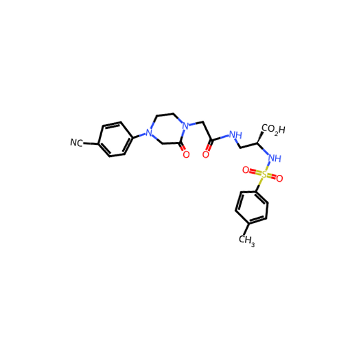 Cc1ccc(S(=O)(=O)N[C@@H](CNC(=O)CN2CCN(c3ccc(C#N)cc3)CC2=O)C(=O)O)cc1